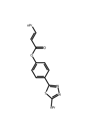 CCCC=CC(=O)Oc1ccc(-c2nnc(CCC)s2)cc1